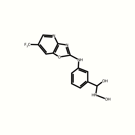 ONC(O)c1cccc(Nc2nc3ncc(C(F)(F)F)cc3o2)c1